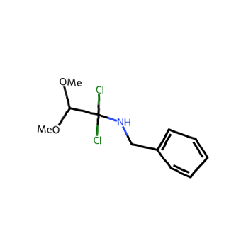 COC(OC)C(Cl)(Cl)NCc1ccccc1